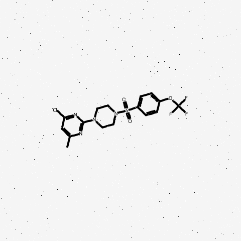 Cc1cc(Cl)nc(N2CCN(S(=O)(=O)c3ccc(OC(F)(F)F)cc3)CC2)n1